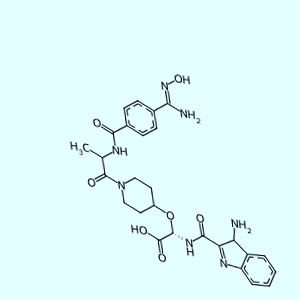 CC(NC(=O)c1ccc(/C(N)=N/O)cc1)C(=O)N1CCC(O[C@H](NC(=O)C2=Nc3ccccc3C2N)C(=O)O)CC1